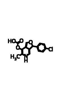 CC1=C(OC(=O)O)C2=COC(c3ccc(Cl)cc3)C2=CN1